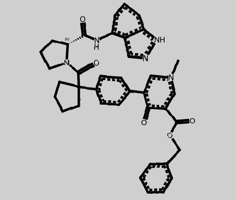 Cn1cc(C(=O)OCc2ccccc2)c(=O)c(-c2ccc(C3(C(=O)N4CCC[C@@H]4C(=O)Nc4cccc5[nH]ncc45)CCCC3)cc2)c1